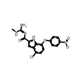 CNC(N)=NC(=O)c1cc2c(Cl)ccc(Oc3ccc([N+](=O)[O-])cc3)c2[nH]1